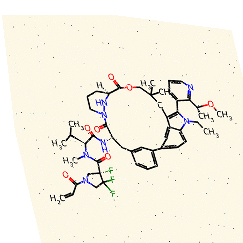 C=CC(=O)N1CC(F)(F)[C@](F)(C(=O)N(C)[C@H](C(=O)N[C@H]2Cc3cccc(c3)-c3ccc4c(c3)c(c(-c3cccnc3[C@H](C)OC)n4CC)CC(C)(C)COC(=O)[C@@H]3CCCN(N3)C2=O)C(C)C)C1